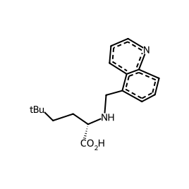 CC(C)(C)CC[C@H](NCc1cccc2ncccc12)C(=O)O